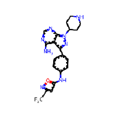 Nc1ncnc2c1c(-c1ccc(Nc3cc(C(F)(F)F)no3)cc1)nn2C1CCNCC1